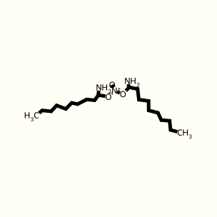 CCCCCCCCCC(N)O[N+](=O)OC(N)CCCCCCCCC